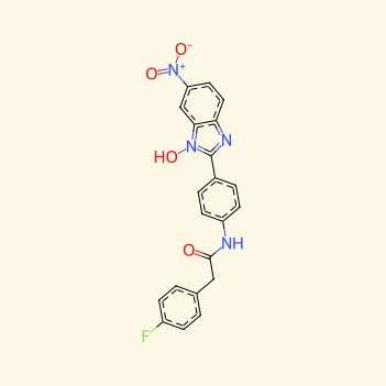 O=C(Cc1ccc(F)cc1)Nc1ccc(-c2nc3ccc([N+](=O)[O-])cc3n2O)cc1